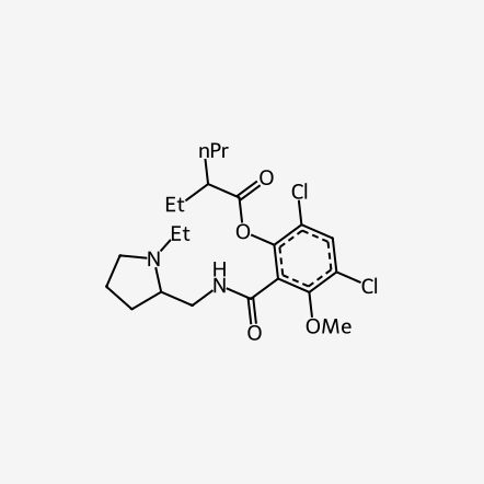 CCCC(CC)C(=O)Oc1c(Cl)cc(Cl)c(OC)c1C(=O)NCC1CCCN1CC